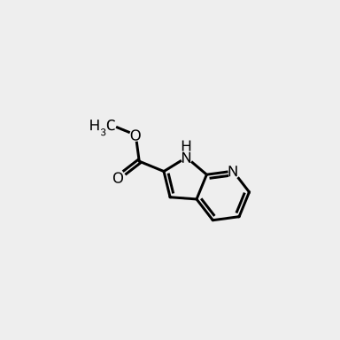 COC(=O)c1cc2cccnc2[nH]1